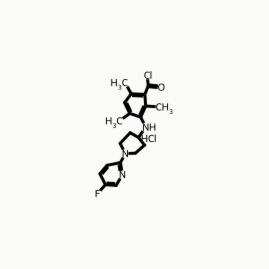 Cc1cc(C)c(C(=O)Cl)c(C)c1NC1CCN(c2ccc(F)cn2)CC1.Cl